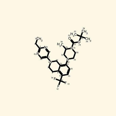 CCc1ncc(N2CCc3c(C(F)(F)F)ccc(N4CCN(C(=O)OC(C)(C)C)C(C)C4)c3C2)cn1